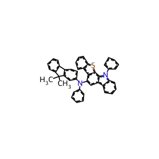 CC1(C)c2ccccc2-c2ccc(N(c3ccccc3)c3cc4c5ccccc5n(-c5ccccc5)c4c4sc5ccccc5c34)cc21